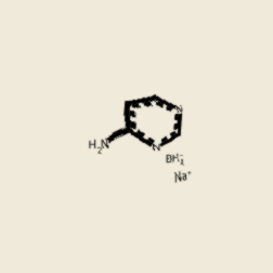 Nc1ccncn1.[BH4-].[Na+]